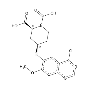 COc1cc2ncnc(Cl)c2cc1O[C@@H]1CCN(C(=O)O)[C@H](C(=O)O)C1